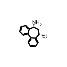 CC[C@H]1C[C@H](N)c2ccccc2-c2ccccc21